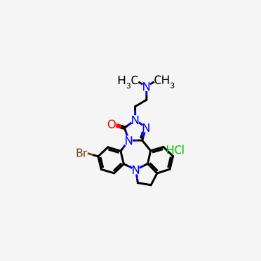 CN(C)CCn1nc2n(c1=O)-c1cc(Br)ccc1N1CCc3cccc-2c31.Cl